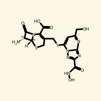 N[C@@H]1C(=O)N2C(C(=O)O)=C(CSc3cc(CO)nc4nc(C(=O)NO)nn34)CS[C@H]12